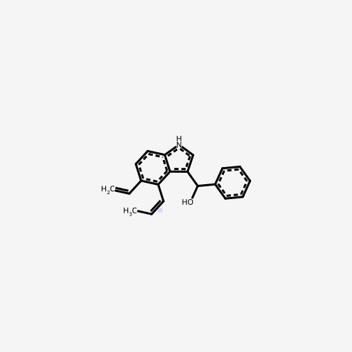 C=Cc1ccc2[nH]cc(C(O)c3ccccc3)c2c1/C=C\C